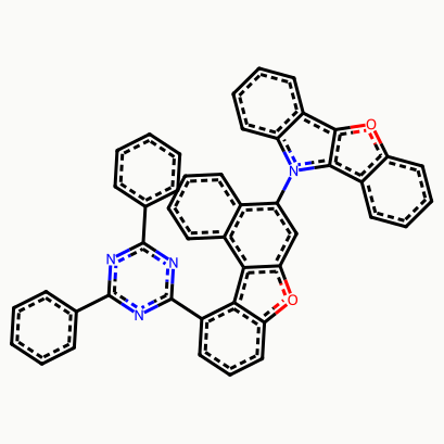 c1ccc(-c2nc(-c3ccccc3)nc(-c3cccc4oc5cc(-n6c7ccccc7c7oc8ccccc8c76)c6ccccc6c5c34)n2)cc1